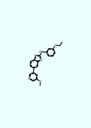 CCOc1cccc(Nc2nc3ccc(-c4cncc(OC)c4)cc3s2)c1